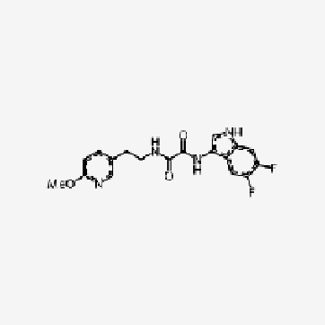 COc1ccc(CCNC(=O)C(=O)Nc2c[nH]c3cc(F)c(F)cc23)cn1